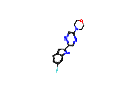 Fc1ccc2cc(-c3cnc(N4CCOCC4)cn3)[nH]c2c1